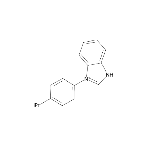 CC(C)c1ccc(-[n+]2c[nH]c3ccccc32)cc1